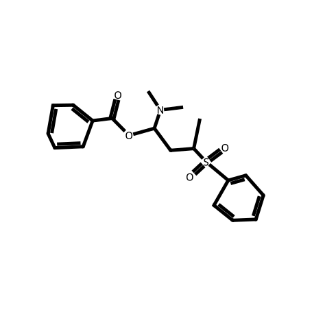 CC(CC(OC(=O)c1ccccc1)N(C)C)S(=O)(=O)c1ccccc1